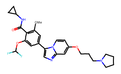 COc1cc(-c2cnc3cc(OCCCN4CCCC4)ccn23)cc(OC(F)F)c1C(=O)NC1CC1